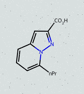 CCCc1cccc2cc(C(=O)O)nn12